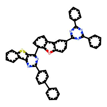 c1ccc(-c2ccc(-c3nc(-c4cccc5c4oc4ccc(-c6nc(-c7ccccc7)nc(-c7ccccc7)n6)cc45)c4sc5ccccc5c4n3)cc2)cc1